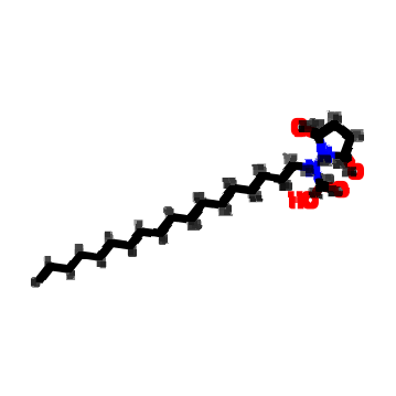 CCCCCCCCCCCCCCCCCCN(C(=O)O)N1C(=O)CCC1=O